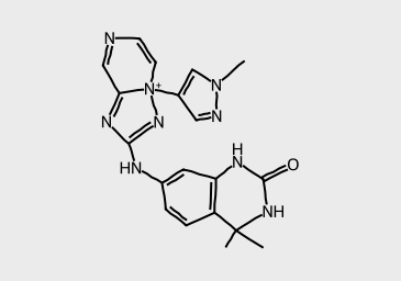 Cn1cc([N+]23C=CN=CC2=NC(Nc2ccc4c(c2)NC(=O)NC4(C)C)=N3)cn1